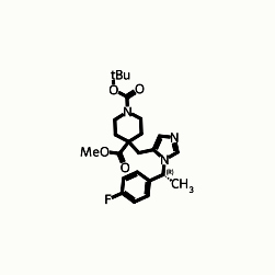 COC(=O)C1(Cc2cncn2[C@H](C)c2ccc(F)cc2)CCN(C(=O)OC(C)(C)C)CC1